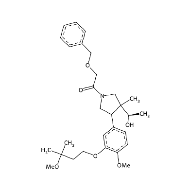 COc1ccc(C2CN(C(=O)COCc3ccccc3)CC2(C)[C@@H](C)O)cc1OCCC(C)(C)OC